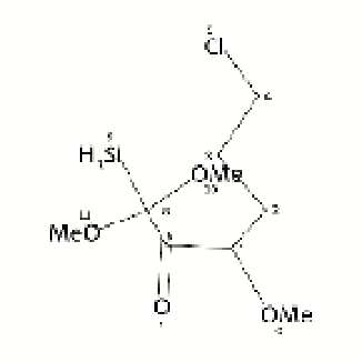 COC(CCCCl)C(=O)C([SiH3])(OC)OC